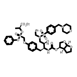 CCOC(=O)[C@H](C)OP(=O)(COc1ccc(C[C@H](NC(=O)O[C@H]2CO[C@H]3OCC[C@H]32)[C@H](O)CN(CC(C)C)S(=O)(=O)c2ccc(CN3CCOCC3)cc2)cc1)Oc1ccccc1